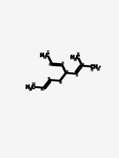 [CH2]C(C)=CC(C=CC)CC=CC